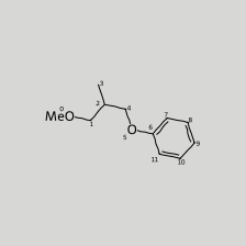 COCC(C)COc1ccccc1